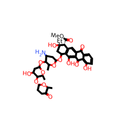 CC[C@@]1(O)CC(OC2CC(N)C(OC3CC(O)C(OC4CCC(=O)C(C)O4)C(C)O3)C(C)O2)c2c(cc3c(c2O)C(=O)c2c(O)cccc2C3=O)[C@H]1C(=O)OC